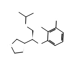 CC(C)OC[C@@H](Oc1cccc(Cl)c1Cl)[C@@H]1CCNC1